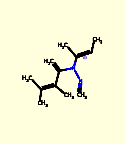 C=NN(C(=C)C(C)=C(C)C)/C(C)=C/C